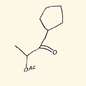 CC(=O)OC(C)C(=O)C1CCCC1